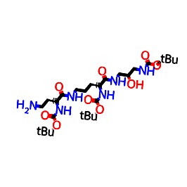 CC(C)(C)OC(=O)NCC(O)CNC(=O)[C@H](CCCNC(=O)[C@H](CCN)NC(=O)OC(C)(C)C)NC(=O)OC(C)(C)C